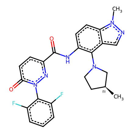 C[C@H]1CCN(c2c(NC(=O)c3ccc(=O)n(-c4c(F)cccc4F)n3)ccc3c2cnn3C)C1